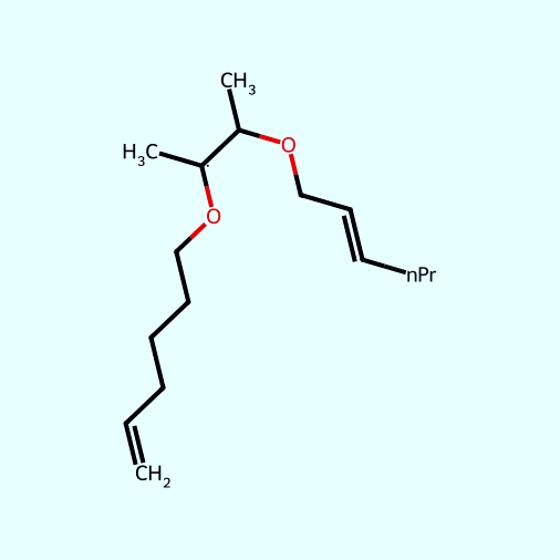 C=CCCCCO[C](C)C(C)OCC=CCCC